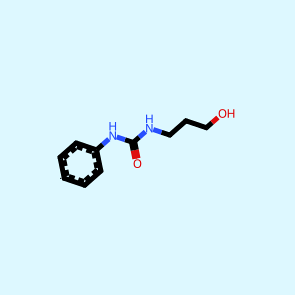 O=C(NCCCO)Nc1cc[c]cc1